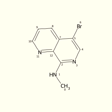 CNc1ncc(Br)c2cccnc12